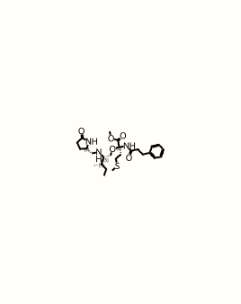 CC[C@H](C)[C@@H](CO[C@](CCSC)(NC(=O)CCc1ccccc1)C(=O)OC)NC[C@@H]1CCC(=O)N1